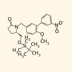 COc1ccc(CN2C(=O)CC[C@@H]2CO[Si](C)(C)C(C)(C)C)cc1-c1cccc([N+](=O)[O-])c1